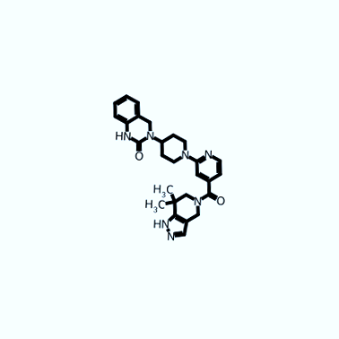 CC1(C)CN(C(=O)c2ccnc(N3CCC(N4Cc5ccccc5NC4=O)CC3)c2)Cc2cn[nH]c21